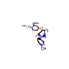 CC(C)(C)C1CC(Oc2cc(=O)n(-c3ccc(C#N)nc3)nc2C#N)CCN1C(=O)O